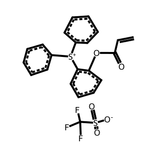 C=CC(=O)Oc1ccccc1[S+](c1ccccc1)c1ccccc1.O=S(=O)([O-])C(F)(F)F